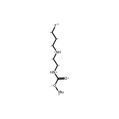 CC(C)(C)OC(=O)NCCNCCCF